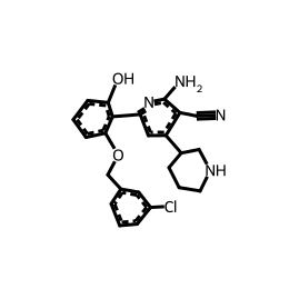 N#Cc1c(C2CCCNC2)cc(-c2c(O)cccc2OCc2cccc(Cl)c2)nc1N